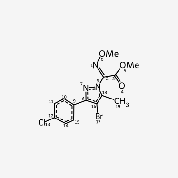 CON=C(C(=O)OC)n1nc(-c2ccc(Cl)cc2)c(Br)c1C